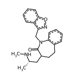 CN[C@@H](C)CC1CCc2ccccc2N(Cc2noc3ccccc23)C1=O